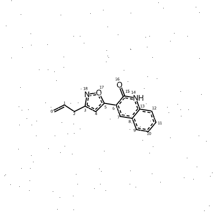 C=CCc1cc(-c2cc3ccccc3[nH]c2=O)on1